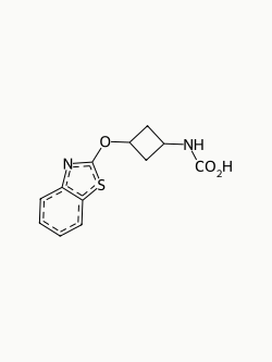 O=C(O)NC1CC(Oc2nc3ccccc3s2)C1